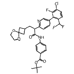 CC(C)(C)OC(=O)c1ccc(NC(=O)C(CC2CC3(C2)OCCO3)c2ccc(-c3c(C(F)F)ccc(Cl)c3F)cn2)cc1